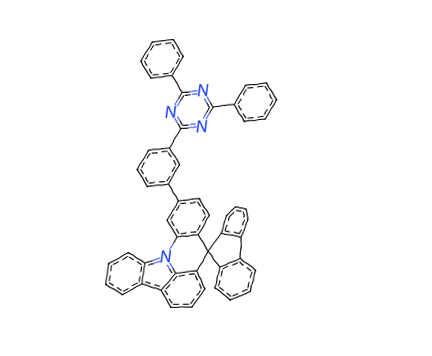 c1ccc(-c2nc(-c3ccccc3)nc(-c3cccc(-c4ccc5c(c4)-n4c6ccccc6c6cccc(c64)C54c5ccccc5-c5ccccc54)c3)n2)cc1